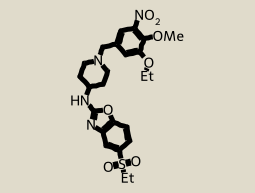 CCOc1cc(CN2CCC(Nc3nc4cc(S(=O)(=O)CC)ccc4o3)CC2)cc([N+](=O)[O-])c1OC